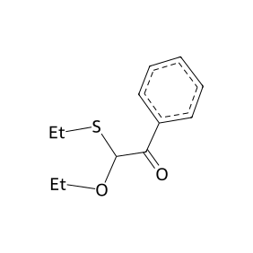 CCOC(SCC)C(=O)c1ccccc1